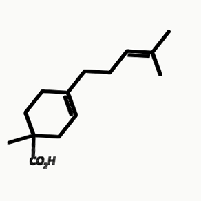 CC(C)=CCCC1=CCC(C)(C(=O)O)CC1